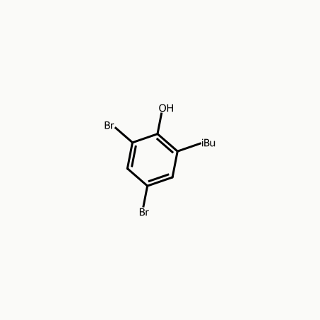 CCC(C)c1cc(Br)cc(Br)c1O